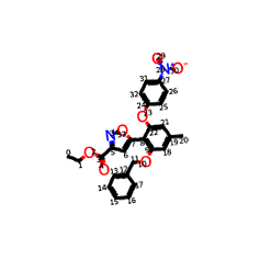 CCOC(=O)c1cc(-c2c(OCc3ccccc3)cc(C)cc2Oc2ccc([N+](=O)[O-])cc2)on1